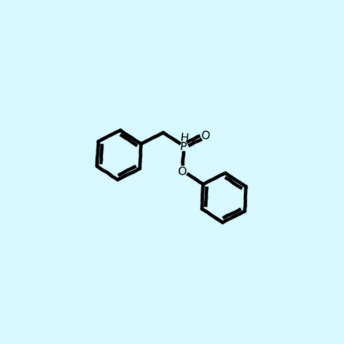 O=[PH](Cc1ccccc1)Oc1ccccc1